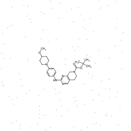 COC1CCN(c2ccc(Nc3ncc4c(n3)CN(C(=O)OC(C)(C)C)CC4)cc2)CC1